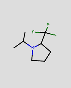 CC(C)N1CCCC1C(F)(F)F